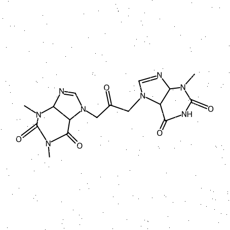 CN1C(=O)C2C(N=CN2CC(=O)CN2C=NC3C2C(=O)NC(=O)N3C)N(C)C1=O